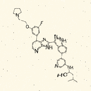 CC(C)CC(O)Nc1cncc(-c2ccc3[nH]nc(-c4nc5c(-c6cc(F)cc(OCCN7CCCC7)c6)ccnc5[nH]4)c3c2)c1